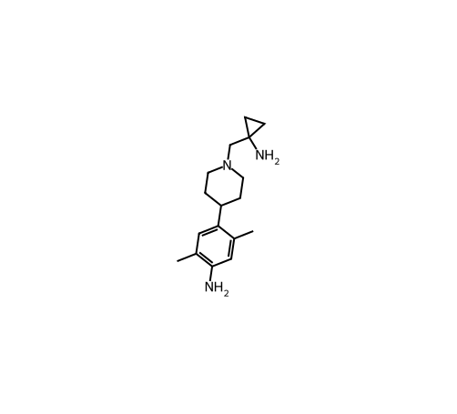 Cc1cc(C2CCN(CC3(N)CC3)CC2)c(C)cc1N